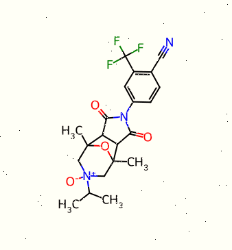 CC(C)[N+]1([O-])CC2(C)OC(C)(C1)C1C(=O)N(c3ccc(C#N)c(C(F)(F)F)c3)C(=O)C12